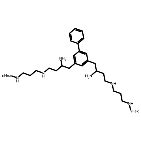 CCCCCCNCCCNCCC(N)Cc1cc(CC(N)CCNCCCNCCCCCC)cc(-c2ccccc2)c1